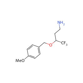 COc1ccc(COC(CCN)C(F)(F)F)cc1